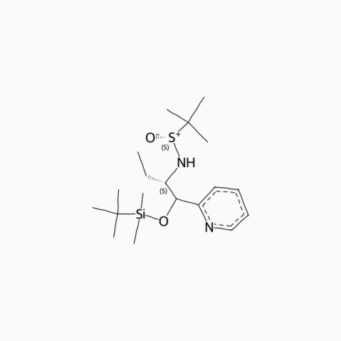 CC[C@H](N[S@+]([O-])C(C)(C)C)C(O[Si](C)(C)C(C)(C)C)c1ccccn1